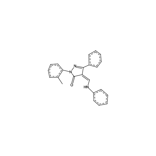 Cc1ccccc1N1N=C(c2ccccc2)C(=CNc2ccccc2)C1=O